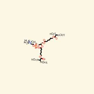 CCCCCCCCC(CCCCCCCC)C(=O)OCCCCCC(=O)OC[C@@H](COP(=O)([O-])OCC[N+](C)(C)C)OC(=O)CCCCCOC(=O)C(CCCCCCCC)CCCCCCCC